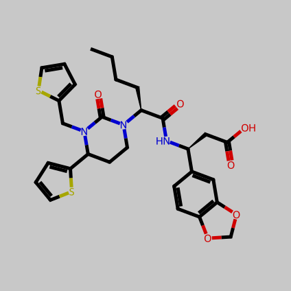 CCCC[C@@H](C(=O)N[C@@H](CC(=O)O)c1ccc2c(c1)OCO2)N1CCC(c2cccs2)N(Cc2cccs2)C1=O